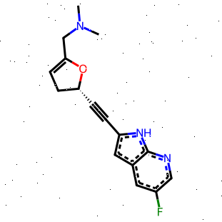 CN(C)CC1=CC[C@@H](C#Cc2cc3cc(F)cnc3[nH]2)O1